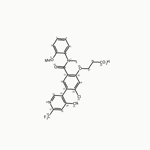 COc1ccccc1N(C)C(=O)c1cc(-c2cnc(C(F)(F)F)cc2C#N)c(Cl)cc1OCCC(=O)O